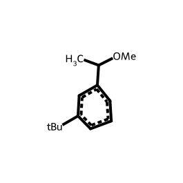 COC(C)c1cccc(C(C)(C)C)c1